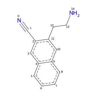 N#Cc1cc2ccccc2cc1CCN